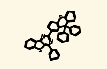 c1ccc(-c2nc(-c3ccc4c(c3)C(c3ccccc3)(c3ccccc3)c3ccccc3S4)nc3c2sc2ccccc23)cc1